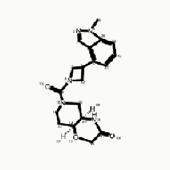 Cn1ncc2c(C3CN(C(=O)N4CC[C@@H]5OCC(=O)N[C@@H]5C4)C3)cccc21